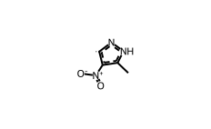 Cc1[nH]n[c]c1[N+](=O)[O-]